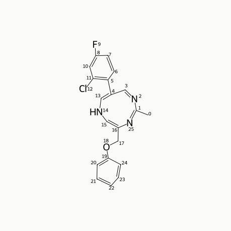 Cc1ncc(-c2ccc(F)cc2Cl)c[nH]cc(COc2ccccc2)n1